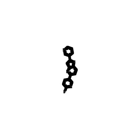 Fc1ccc(-c2ccc3sc(-c4cccnc4)cc3n2)cn1